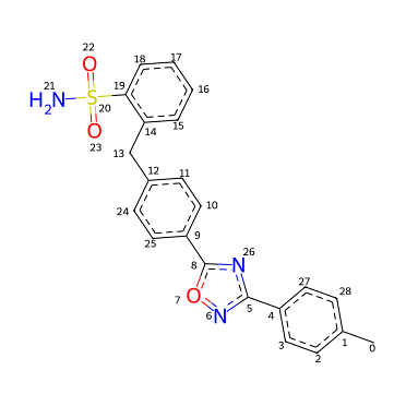 Cc1ccc(-c2noc(-c3ccc(Cc4ccccc4S(N)(=O)=O)cc3)n2)cc1